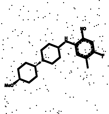 CO[C@H]1CC[C@H](N2CCC(Nc3cc(C)c(F)cc3N=O)CC2)CC1